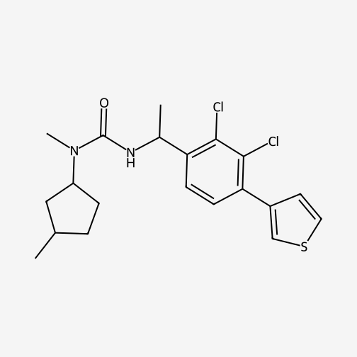 CC1CCC(N(C)C(=O)NC(C)c2ccc(-c3ccsc3)c(Cl)c2Cl)C1